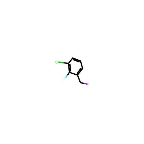 Fc1c(Cl)cccc1CI